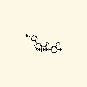 CN1SN=C(c2cc(Br)cs2)C=C1C(=O)Nc1ccc(F)c(Cl)c1